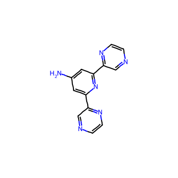 Nc1cc(-c2cnccn2)nc(-c2cnccn2)c1